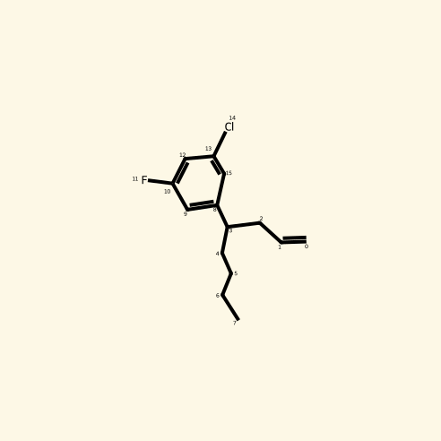 C=CCC(CCCC)c1cc(F)cc(Cl)c1